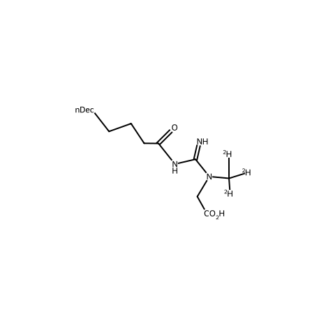 [2H]C([2H])([2H])N(CC(=O)O)C(=N)NC(=O)CCCCCCCCCCCCC